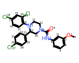 COc1cccc(NC(=O)N2CCN(c3ccc(Cl)cc3Cl)C(c3ccc(Cl)cc3)C2)c1